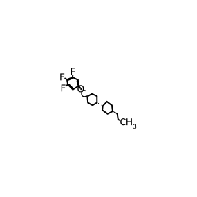 CCC[C@H]1CC[C@H](C2CCC(COc3cc(F)c(F)c(F)c3)CC2)CC1